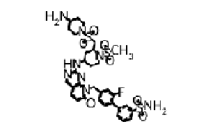 CS(=O)(=O)N1CCC(Nc2ncc3ccc(=O)n(Cc4ccc(-c5cccc(S(N)(=O)=O)c5)c(F)c4)c3n2)CC1CS(=O)(=O)N1CCC(N)CC1